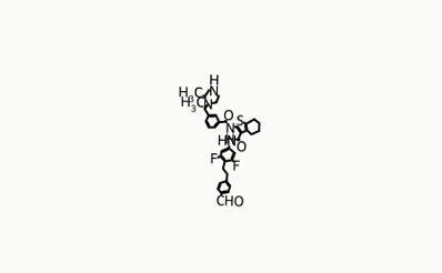 CC1(C)CNCCN1Cc1cccc(C(=O)Nc2sc3c(c2C(=O)Nc2cc(F)c(CCc4ccc(C=O)cc4)c(F)c2)CCCC3)c1